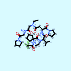 CCN(CC(=O)NCC(=O)N1CCCC1)C(=O)C[C@H](NC(=O)C(C(C)C)N(CC)C(=O)C1(NC(=O)C(F)(F)F)CCCC1)C(=O)N1CCCC1